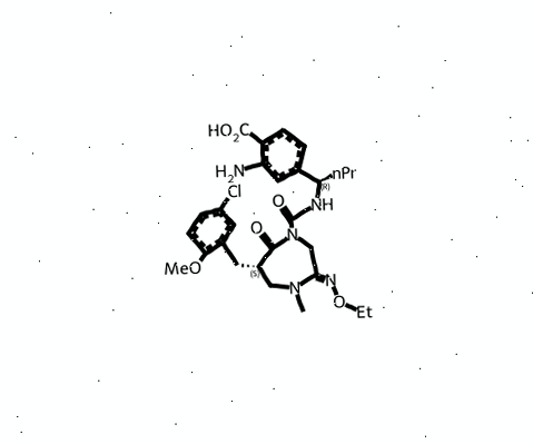 CCC[C@@H](NC(=O)N1CC(=NOCC)N(C)C[C@H](Cc2cc(Cl)ccc2OC)C1=O)c1ccc(C(=O)O)c(N)c1